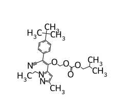 CCn1nc(C)cc1/C(OCOC(=O)OCC(C)C)=C(\C#N)c1ccc(C(C)(C)C)cc1